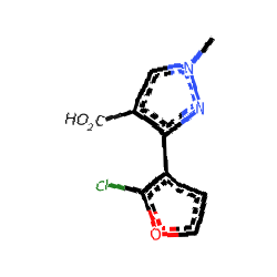 Cn1cc(C(=O)O)c(-c2ccoc2Cl)n1